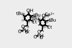 CCc1c(CO[PH](=O)[O-])cc(C(C)(C)C)c(O)c1C(C)(C)C.CCc1c(CO[PH](=O)[O-])cc(C(C)(C)C)c(O)c1C(C)(C)C.[Ca+2]